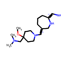 COC1(CN(C)C)CCN(/C=C2\CCC/C(=C/N)NC2)CC1